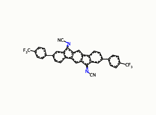 N#C/N=c1\c2cc(-c3ccc(C(F)(F)F)cc3)ccc2c2cc3/c(=N/C#N)c4cc(-c5ccc(C(F)(F)F)cc5)ccc4c3cc12